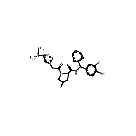 CC(C)c1ccc(C(NC(=O)C2CC(F)CN2C(=O)Cn2cc(N(C)C)nn2)c2ccccc2)cc1F